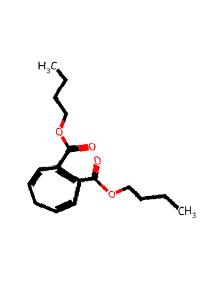 CCCCOC(=O)C1=C(C(=O)OCCCC)C=CCC=C1